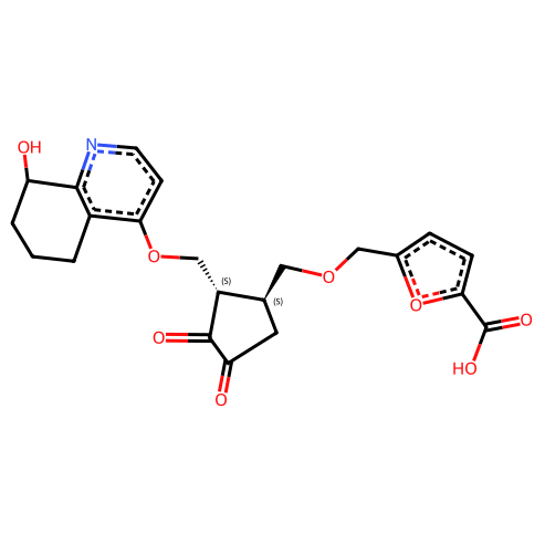 O=C1C[C@H](COCc2ccc(C(=O)O)o2)[C@@H](COc2ccnc3c2CCCC3O)C1=O